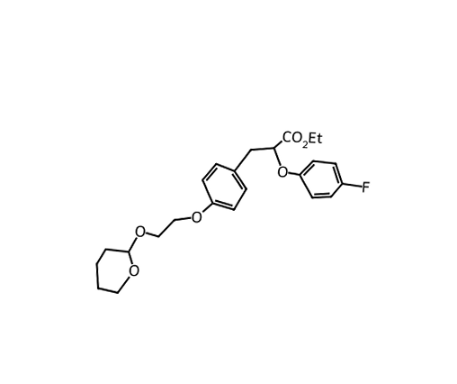 CCOC(=O)C(Cc1ccc(OCCOC2CCCCO2)cc1)Oc1ccc(F)cc1